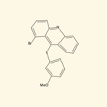 COc1cccc(Sc2c3ccccc3nc3cccc(Br)c23)c1